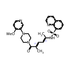 COc1ccncc1N1CCN(C(=O)/C(C)=C/C=C(\C)NS(=O)(=O)c2cccc3cccnc23)CC1